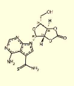 NC(=S)c1cn([C@@H]2O[C@H](CO)[C@H]3OC(=O)O[C@@H]32)c2ncnc(N)c12